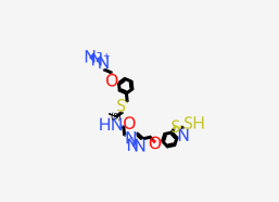 C[C@@H](CSCc1cccc(OCCN=[N+]=[N-])c1)NC(=O)Cn1cc(COc2ccc3nc(S)sc3c2)nn1